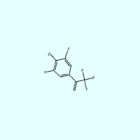 C=C(c1cc(F)c(Cl)c(F)c1)C(F)(F)F